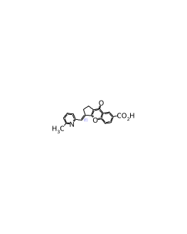 Cc1cccc(/C=C2\CCc3c2oc2ccc(C(=O)O)cc2c3=O)n1